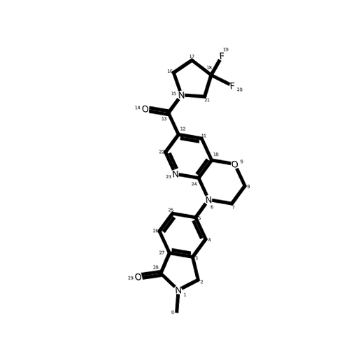 CN1Cc2cc(N3CCOc4cc(C(=O)N5CCC(F)(F)C5)cnc43)ccc2C1=O